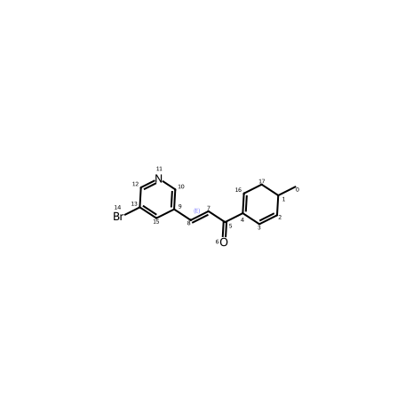 CC1C=CC(C(=O)/C=C/c2cncc(Br)c2)=CC1